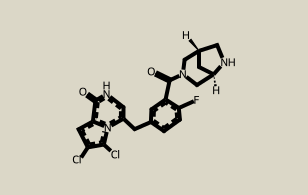 O=C(c1cc(Cc2c[nH]c(=O)c3cc(Cl)c(Cl)n23)ccc1F)N1C[C@@H]2CN[C@H](C2)C1